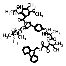 COc1cc(C(=O)N2C=C(c3ccc(NN[C@@H](C)C(=O)NC(C(=O)C(=O)OCC4c5ccccc5-c5ccccc54)C(C)C)cc3)C[C@H]2CO[Si](C)(C)C(C)(C)C)c(NB(C)O)cc1C